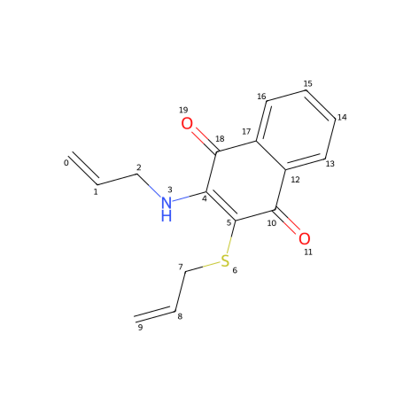 C=CCNC1=C(SCC=C)C(=O)c2ccccc2C1=O